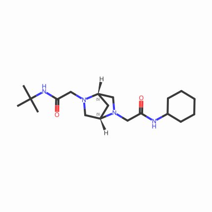 CC(C)(C)NC(=O)CN1C[C@@H]2C[C@H]1CN2CC(=O)NC1CCCCC1